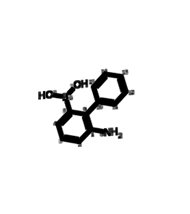 Nc1cccc(B(O)O)c1-c1ccccc1